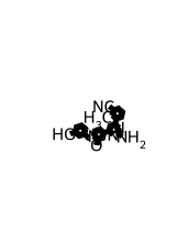 Cc1c(C#N)cccc1-c1cc(-c2ccn(Cc3cccc(O)c3)c(=O)c2)nc(N)n1